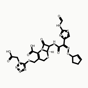 O=CNc1nc(/C(=N/OC2C=CCC2)C(=O)NC2C(=O)N3C(C(=O)O)=C(CSc4nnnn4CC(=O)O)CS[C@H]23)cs1